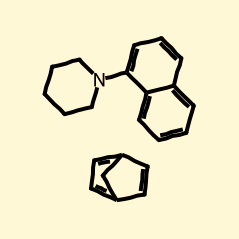 C1=CC2=CC=C1C2.c1ccc2c(N3CCCCC3)cccc2c1